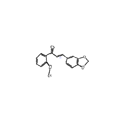 CCOc1ccccc1C(=O)/C=C/c1ccc2c(c1)OCO2